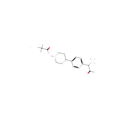 CC(=O)C(c1ccc(C2CCN(OC(=O)C(C)(C)C)CC2)cc1)[Si](C)(C)C